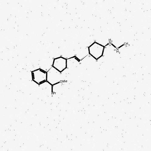 CCCC(OC)c1ccccc1[C@H]1CC[C@H](C=C[C@H]2CC[C@H]([SiH2][SiH2]C)CC2)CC1